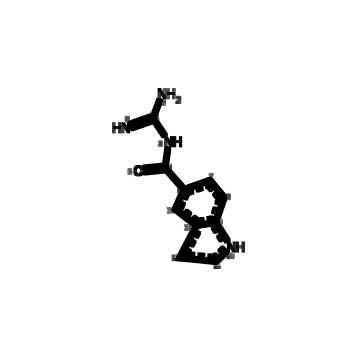 N=C(N)NC(=O)c1ccc2[nH]ccc2c1